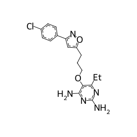 CCc1nc(N)nc(N)c1OCCCc1cc(-c2ccc(Cl)cc2)no1